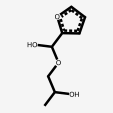 CC(O)COC(O)c1ccco1